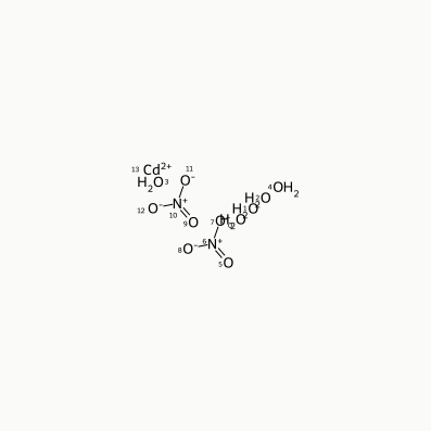 O.O.O.O.O.O=[N+]([O-])[O-].O=[N+]([O-])[O-].[Cd+2]